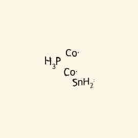 P.[Co].[Co].[SnH2]